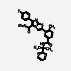 CNC(=O)c1c(-c2ccc(F)cc2)nc2sc(-c3cc(C(=O)NC(C)(C)c4ncccn4)ccc3C)cn12